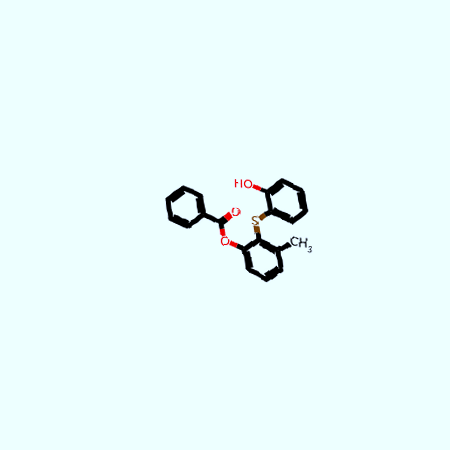 Cc1cccc(OC(=O)c2ccccc2)c1Sc1ccccc1O